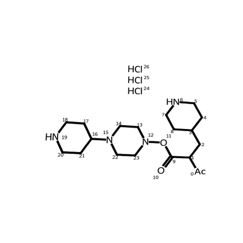 CC(=O)C(CC1CCNCC1)C(=O)ON1CCN(C2CCNCC2)CC1.Cl.Cl.Cl